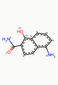 NC(=O)c1ccc2c(N)cccc2c1O